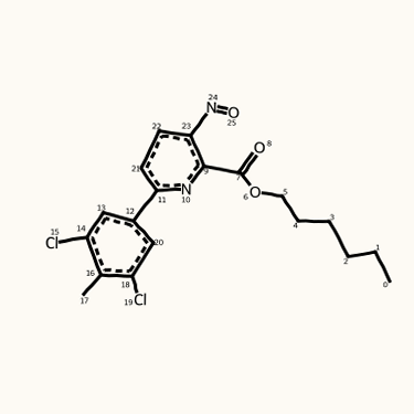 CCCCCCOC(=O)c1nc(-c2cc(Cl)c(C)c(Cl)c2)ccc1N=O